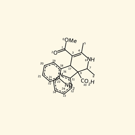 COC(=O)C1=C(C)NC(C)C(C(=O)O)(c2ccccn2)C1c1ccccc1[N+](=O)[O-]